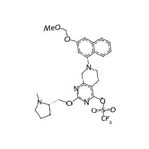 COCOc1cc(N2CCc3c(nc(OC[C@@H]4CCCN4C)nc3OS(=O)(=O)C(F)(F)F)C2)c2ccccc2c1